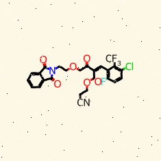 N#CCCOC(=O)C(=Cc1c(F)ccc(Cl)c1C(F)(F)F)C(=O)COCCN1C(=O)c2ccccc2C1=O